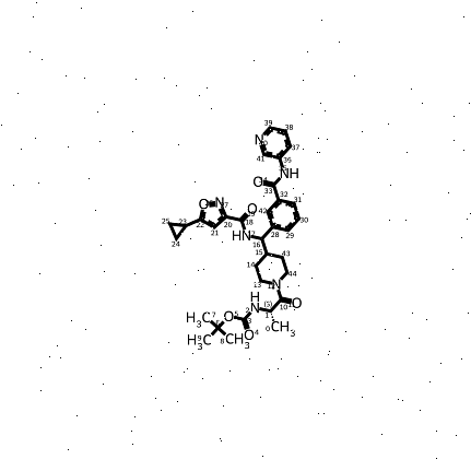 C[C@H](NC(=O)OC(C)(C)C)C(=O)N1CCC(C(NC(=O)c2cc(C3CC3)on2)c2cccc(C(=O)Nc3cccnc3)c2)CC1